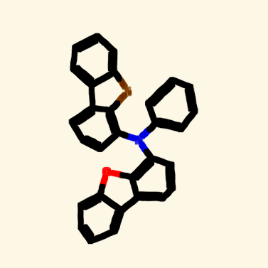 c1ccc(N(c2cccc3c2oc2ccccc23)c2cccc3c2sc2ccccc23)cc1